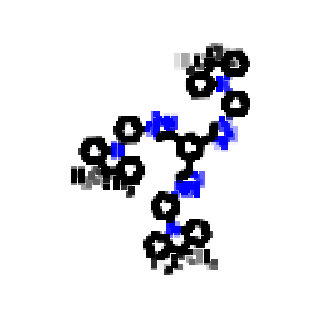 CC1(C)c2ccccc2N(c2cccc(-n3cc(-c4cc(-c5cn(-c6cccc(N7c8ccccc8C(C)(C)c8ccccc87)c6)nn5)cc(-c5cn(-c6cccc(N7c8ccccc8C(C)(C)c8ccccc87)c6)nn5)c4)nn3)c2)c2ccccc21